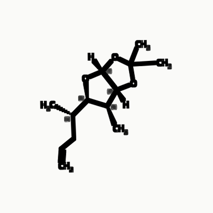 C=CC[C@H](C)[C@H]1O[C@@H]2OC(C)(C)O[C@@H]2[C@H]1C